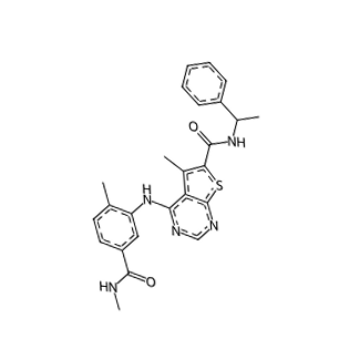 CNC(=O)c1ccc(C)c(Nc2ncnc3sc(C(=O)NC(C)c4ccccc4)c(C)c23)c1